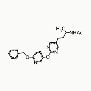 CC(=O)NC(C)CCc1cnc(Oc2ccc(OCc3ccccc3)nc2)nc1